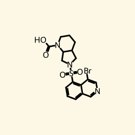 O=C(O)N1CCCC2CN(S(=O)(=O)c3cccc4cncc(Br)c34)CC21